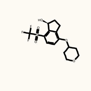 O=S(=O)(c1ccc(OC2CCOCC2)c2c1[C@@H](O)CC2)C(F)(F)F